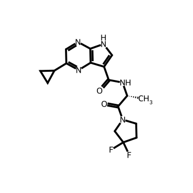 C[C@@H](NC(=O)c1c[nH]c2ncc(C3CC3)nc12)C(=O)N1CCC(F)(F)C1